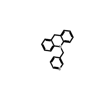 b1cccc(CN2c3ccccc3Cc3ccccc32)c1